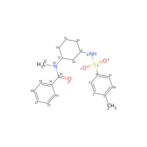 Cc1ccc(S(=O)(=O)NC2CCCC(N(C)C(=O)c3ccccc3)C2)cc1